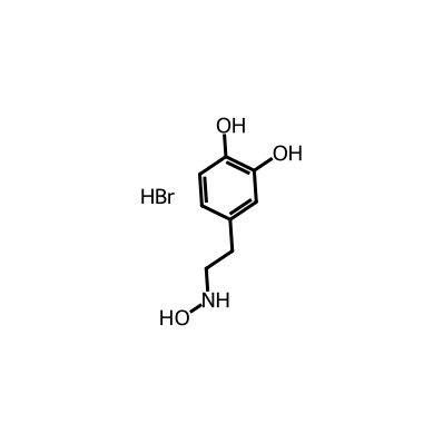 Br.ONCCc1ccc(O)c(O)c1